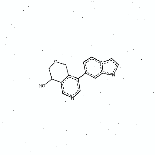 OC1COCc2c(-c3ccn4ccnc4c3)cncc21